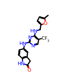 Cc1ccc(CNc2nc(Nc3ccc4c(c3)CC(=O)N4)ncc2C(F)(F)F)o1